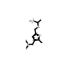 Cc1sc(CSC(C)N)cc1CN(C)C